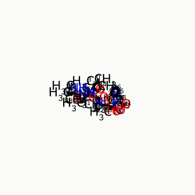 CC[C@H](C)[C@@H]([C@@H](CC(=O)N1CCC[C@H]1[C@H](OC)[C@@H](C)C(=O)N[C@@H](Cc1ccccc1)C(=O)O)OC)N(C)C(=O)C(NC(=O)C(NC)C(C)C)C(C)C